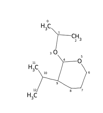 CC(C)OC1OCCCC1C(C)C